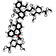 COC(=O)C1CN(C(=O)OC)CCN1C(=O)/C=C/c1ccc(Sc2ccc(/C=C/C(=O)N3CCN(C(=O)OC)CC3C(=O)OC)c(-c3ccccc3C(C)C)c2[N+](=O)[O-])c([N+](=O)[O-])c1-c1ccccc1C(C)C